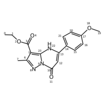 CCOC(=O)c1c(C)nn2c(=O)cc(-c3ccc(OC)cc3)[nH]c12